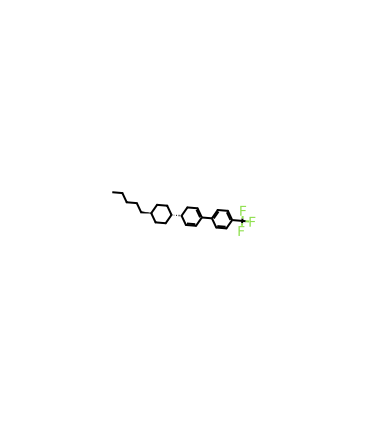 CCCCC[C@H]1CC[C@H](C2C=CC(c3ccc(C(F)(F)F)cc3)=CC2)CC1